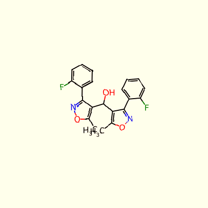 Cc1onc(-c2ccccc2F)c1C(O)c1c(-c2ccccc2F)noc1C